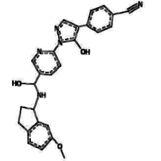 COc1ccc2c(c1)C(NC(O)c1ccc(-n3ncc(-c4ccc(C#N)cc4)c3O)nc1)CC2